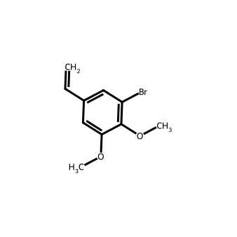 C=Cc1cc(Br)c(OC)c(OC)c1